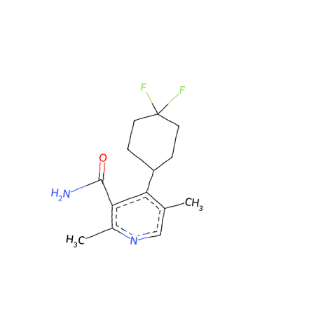 Cc1cnc(C)c(C(N)=O)c1C1CCC(F)(F)CC1